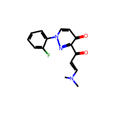 CN(C)C=CC(=O)c1nn(-c2ccccc2F)ccc1=O